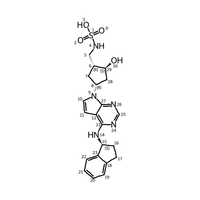 O=S(=O)(O)NC[C@H]1C[C@@H](n2ccc3c(N[C@H]4CCc5ccccc54)ncnc32)C[C@@H]1O